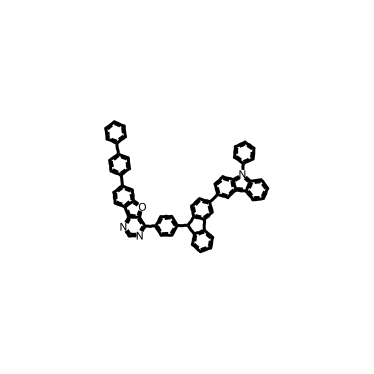 c1ccc(-c2ccc(-c3ccc4c(c3)oc3c(-c5ccc(C6c7ccccc7-c7cc(-c8ccc9c(c8)c8ccccc8n9-c8ccccc8)ccc76)cc5)ncnc34)cc2)cc1